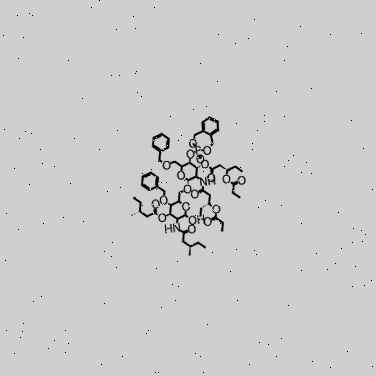 CCC(=O)O[C@H](CC)CC(=O)NC1[C@H](OCC2OC(O)C(NC(=O)C[C@H](C)CC)[C@@H](OC(=O)C[C@H](C)CC)[C@H]2OCc2ccccc2)OC(COCc2ccccc2)[C@@H](OP2(=O)OCc3ccccc3CO2)[C@@H]1OC(=O)C[C@@H](CC)OC(=O)CC